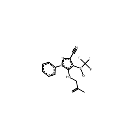 C=C(C)CNc1c([S+]([O-])C(F)(F)F)c(C#N)nn1-c1ccccc1